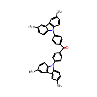 CC(C)(C)c1ccc2c(c1)c1cc(C(C)(C)C)ccc1n2-c1ccc(C(=O)c2ccc(-n3c4ccc(C(C)(C)C)cc4c4cc(C(C)(C)C)ccc43)cc2)cc1